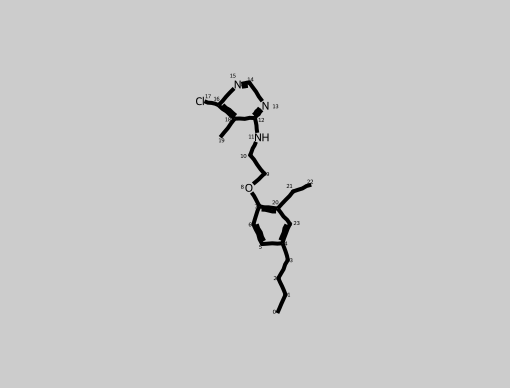 CCCCc1ccc(OCCNc2ncnc(Cl)c2C)c(CC)c1